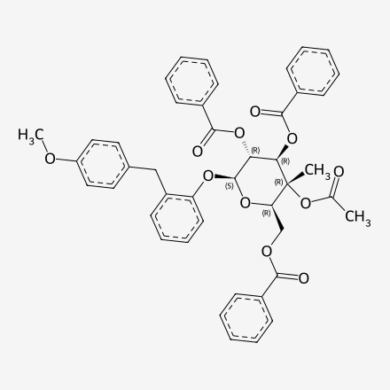 COc1ccc(Cc2ccccc2O[C@@H]2O[C@H](COC(=O)c3ccccc3)[C@@](C)(OC(C)=O)[C@H](OC(=O)c3ccccc3)[C@H]2OC(=O)c2ccccc2)cc1